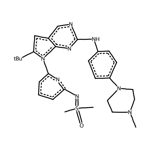 CN1CCN(c2ccc(Nc3ncc4cc(C(C)(C)C)n(-c5cccc(N=S(C)(C)=O)n5)c4n3)cc2)CC1